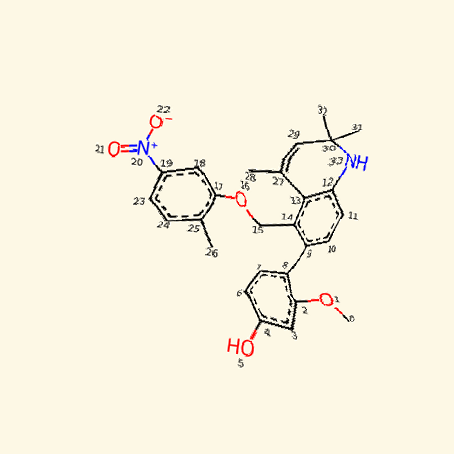 COc1cc(O)ccc1-c1ccc2c(c1COc1cc([N+](=O)[O-])ccc1C)C(C)=CC(C)(C)N2